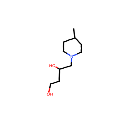 CC1CCN(CC(O)CCO)CC1